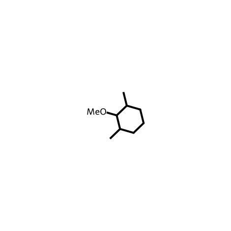 [CH2]OC1C(C)CCCC1C